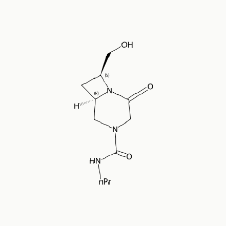 CCCNC(=O)N1CC(=O)N2[C@H](CO)C[C@@H]2C1